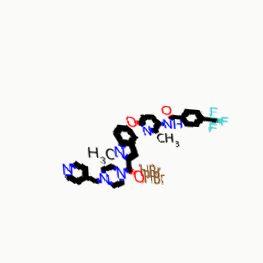 Br.Br.Cc1nc(Oc2ccc3c(c2)cc(C(=O)N2CCN(Cc4ccncc4)CC2)n3C)ccc1NC(=O)c1ccc(C(F)(F)F)cc1